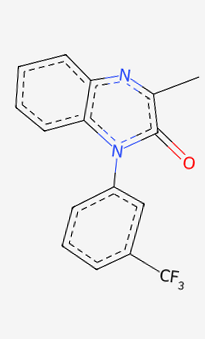 Cc1nc2ccccc2n(-c2cccc(C(F)(F)F)c2)c1=O